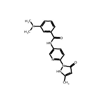 Cc1cc(=O)n(-c2ccc(NC(=O)c3cccc(N(C)C)c3)cn2)[nH]1